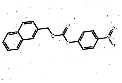 O=C(OCc1ccc2ccccc2c1)Oc1ccc([N+](=O)[O-])cc1